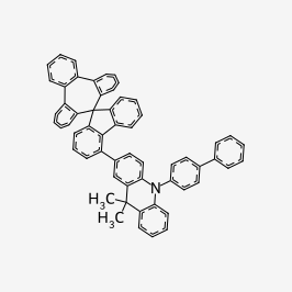 CC1(C)c2ccccc2N(c2ccc(-c3ccccc3)cc2)c2ccc(-c3cccc4c3-c3ccccc3C43c4ccccc4-c4ccccc4-c4ccccc43)cc21